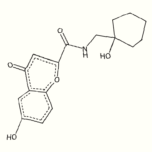 O=C(NCC1(O)CCCCC1)c1cc(=O)c2cc(O)ccc2o1